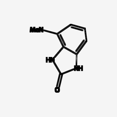 CNc1cccc2[nH]c(=O)[nH]c12